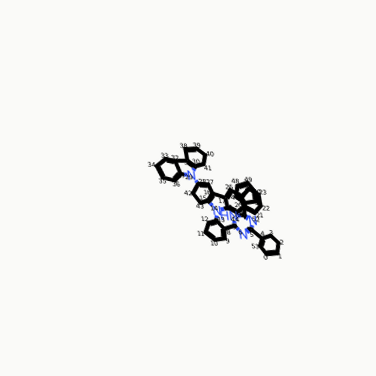 C1=CCCC(C2=NC(c3ccccc3-n3c4c(c5c3=CC3=CC=CCC3C=5)C=C(n3c5c(c6ccccc63)C=CCC5)CC4)NC(c3ccccc3)=N2)=C1